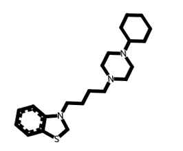 c1ccc2c(c1)SCN2CCCCN1CCN(C2CCCCC2)CC1